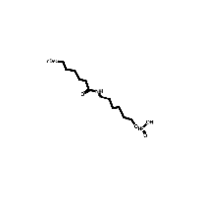 CCCCCCCCCCCCCCCC(=O)NCCCCCCO[PH](=O)O